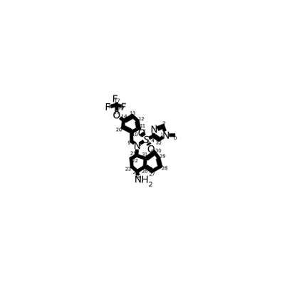 Cn1cnc(S(=O)(=O)N(Cc2cccc(OC(F)(F)F)c2)C2CCC(N)c3ccccc32)c1